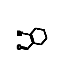 O=CC1=C(Br)CCCC1